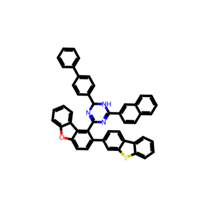 c1ccc(-c2ccc(C3N=C(c4c(-c5ccc6c(c5)sc5ccccc56)ccc5oc6ccccc6c45)N=C(c4ccc5ccccc5c4)N3)cc2)cc1